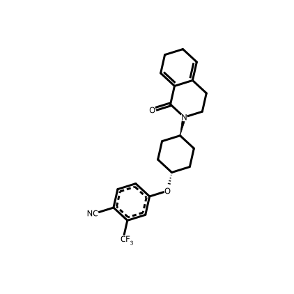 N#Cc1ccc(O[C@H]2CC[C@H](N3CCC4=CCCC=C4C3=O)CC2)cc1C(F)(F)F